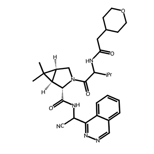 CC(C)C(NC(=O)CC1CCOCC1)C(=O)N1C[C@H]2[C@@H]([C@H]1C(=O)NC(C#N)c1nncc3ccccc13)C2(C)C